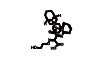 O=C(O)/C(=N\OCCO)c1nc2ccccc2n([C@H]2C[C@H]3CCC[C@@H](C2)N3C2CCCCC2)c1=O